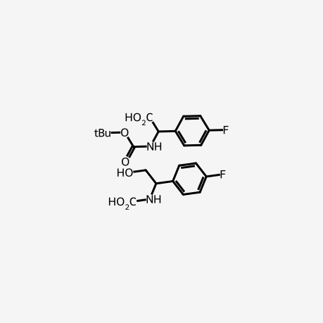 CC(C)(C)OC(=O)NC(C(=O)O)c1ccc(F)cc1.O=C(O)NC(CO)c1ccc(F)cc1